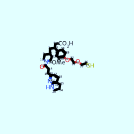 COc1cc(C(CC(=O)O)CC2CCN(C(=O)CCc3ccc4c(n3)NCCC4)CC2)ccc1OCCOCCS